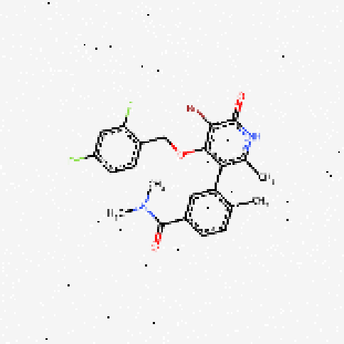 Cc1ccc(C(=O)N(C)C)cc1-c1c(C)[nH]c(=O)c(Br)c1OCc1ccc(F)cc1F